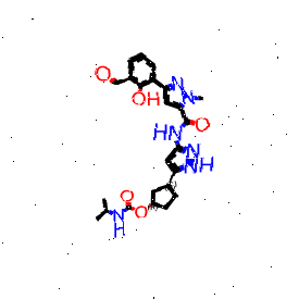 CC(C)NC(=O)O[C@@H]1CC[C@H](c2cc(NC(=O)c3cc(-c4cccc(C=O)c4O)nn3C)n[nH]2)C1